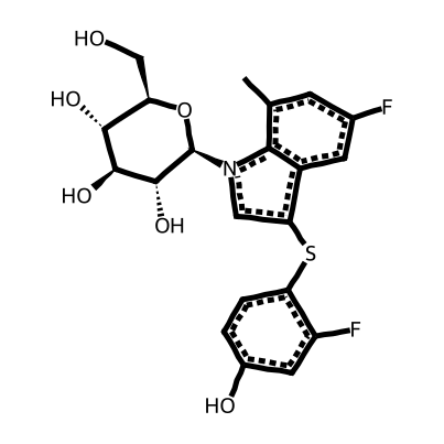 Cc1cc(F)cc2c(Sc3ccc(O)cc3F)cn([C@@H]3O[C@H](CO)[C@@H](O)[C@H](O)[C@H]3O)c12